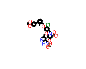 COC(=O)[C@@H]1CCCCN1Cc1cc(Cl)c(OCc2cccc(-c3ccc4c(c3)OCCO4)c2C)cc1OCc1cncc(C(=O)NS(C)(=O)=O)c1